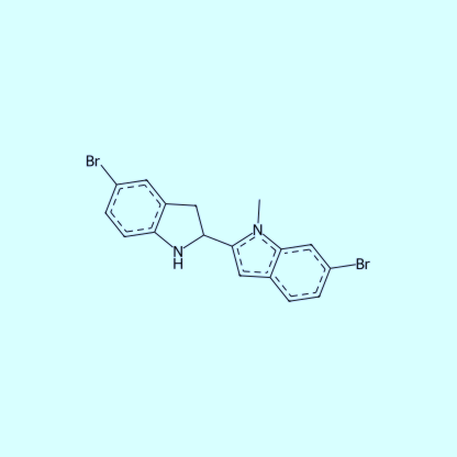 Cn1c(C2Cc3cc(Br)ccc3N2)cc2ccc(Br)cc21